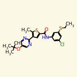 CCSc1cc(Cl)cc(NC(=O)c2cc(-c3ncc(OC(C)(C)C)cn3)c(C)s2)c1